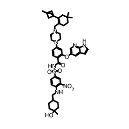 CC1(C)CCC(CN2CCN(c3ccc(C(=O)NS(=O)(=O)c4ccc(NCC5CCC(C)(O)CC5)c([N+](=O)[O-])c4)c(Oc4cnc5[nH]ccc5c4)c3)CC2)=C(C23CC(C)(C2)C3)C1